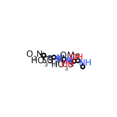 COc1cc(/N=N/c2c(S(=O)(=O)O)cc3cc(Nc4ccccc4)ccc3c2O)c(O)cc1/N=N/c1ccc(/C=C/c2ccc([N+](=O)[O-])cc2S(=O)(=O)O)c(S(=O)(=O)O)c1